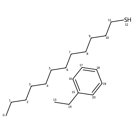 CCCCCCCCCCCCS.CCc1ccccc1